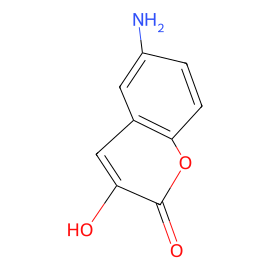 Nc1ccc2oc(=O)c(O)cc2c1